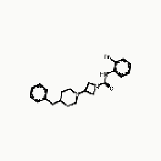 CCc1ccccc1NC(=O)N1CC(N2CCC(Cc3ccccc3)CC2)C1